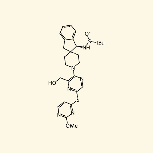 COc1nccc(Sc2cnc(N3CCC4(CC3)Cc3ccccc3[C@H]4N[S+]([O-])C(C)(C)C)c(CO)n2)n1